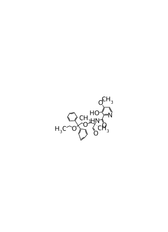 CCOC(c1ccccc1)(c1ccccc1)[C@H](C)OC[C@](C)(C=O)NC(=O)c1nccc(OC)c1O